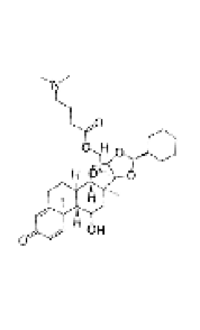 CN(C)CCCC(=O)OCC(=O)[C@@]12O[C@H](C3CCCCC3)O[C@@H]1C[C@H]1[C@@H]3CCC4=CC(=O)C=C[C@]4(C)[C@H]3[C@@H](O)C[C@@]12C